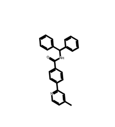 Cc1ccnc(-c2ccc(C(=O)NC(c3ccccc3)c3ccccc3)cc2)c1